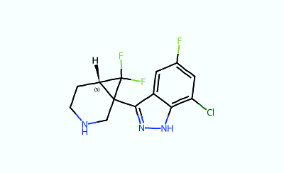 Fc1cc(Cl)c2[nH]nc(C34CNCC[C@@H]3C4(F)F)c2c1